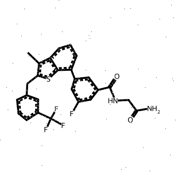 Cc1c(Cc2cccc(C(F)(F)F)c2)sc2c(-c3cc(F)cc(C(=O)NCC(N)=O)c3)cccc12